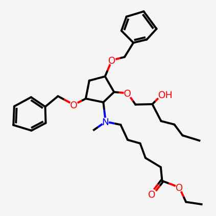 CCCCC(O)COC1C(OCc2ccccc2)CC(OCc2ccccc2)C1N(C)CCCCCC(=O)OCC